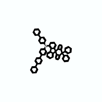 c1ccc(-c2ccc(-c3ccc(N(c4ccc(-c5ccccc5)cc4)c4cccc5c4-c4ccccc4C54c5ccccc5C(c5ccccc5)(c5ccccc5)c5ccccc54)cc3)cc2)cc1